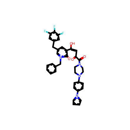 O=C(/C=C(/O)c1cc(Cc2cc(F)c(F)c(F)c2)cn(Cc2ccccc2)c1=O)C(=O)N1CCN(c2ccc(-n3cccc3)cc2)CC1